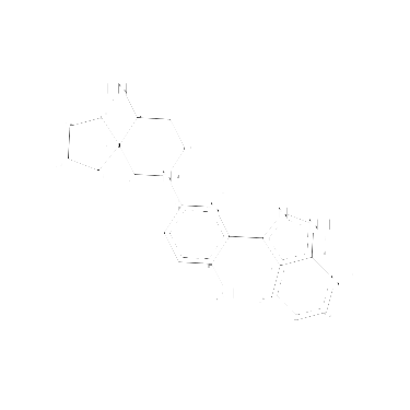 NC1CCN(c2ccc(C(F)(F)F)c(-c3n[nH]c4ncccc34)n2)CC12CCCC2